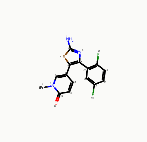 CC(C)n1cc(-c2sc(N)nc2-c2cc(F)ccc2F)ccc1=O